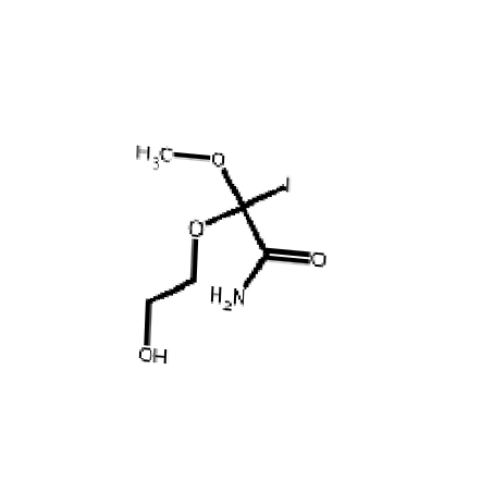 COC(I)(OCCO)C(N)=O